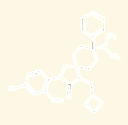 COc1cc(C#N)ccc1N1C[C@]2(CC[C@@](c3ccccc3)(N(C)C)CC2)N(CC2CCC2)C1=O